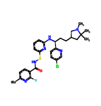 CN1CC(CCC(Nc2cccc(SNC(=O)c3ccc(C(C)(C)C)nc3F)n2)c2ccc(Cl)cn2)CC1(C)C